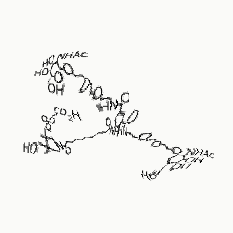 CC(=O)N[C@H]1C(OCCOCCOCCNC(=O)c2cc(NC(=O)CCCCCCCCC(=O)N3CC(C)(CO)C(C)(COC(=O)OCCC(=O)O)C3)cc(C(=O)NCCOCCOCCOC3C[C@H](CO)[C@H](O)[C@H](O)[C@H]3NC(C)=O)c2)O[C@H](CO)[C@H](O)[C@@H]1O